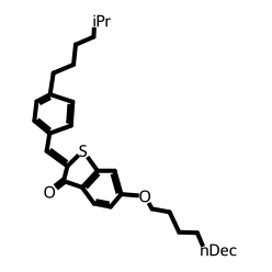 CCCCCCCCCCCCCCOc1ccc2c(c1)SC(=Cc1ccc(CCCCC(C)C)cc1)C2=O